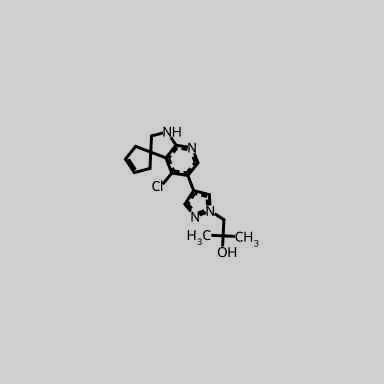 CC(C)(O)Cn1cc(-c2cnc3c(c2Cl)C2(CC=CC2)CN3)cn1